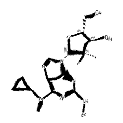 CCNc1nc(N(C)C2CC2)c2ncn([C@@H]3O[C@H](CO)[C@@H](O)[C@@]3(C)F)c2n1